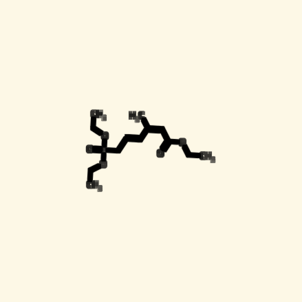 CCOC(=O)C=C(C)C=CCP(=O)(OCC)OCC